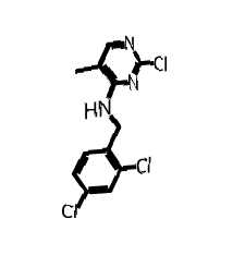 Cc1cnc(Cl)nc1NCc1ccc(Cl)cc1Cl